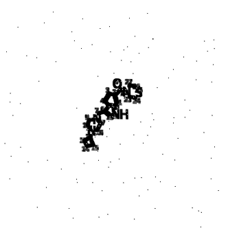 O=C(c1ccc2c(CN3CCN(C4CCC4)CC3)c[nH]c2c1)N1CCSCC1